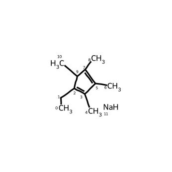 CCC1=C(C)C(C)=C(C)C1C.[NaH]